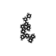 c1ccc(-c2cccc(-c3ccc4c(c3)oc3cccc(-n5c6ccccc6c6ccc(-n7c8ccccc8c8cc(-n9c%10ccccc%10c%10ccccc%109)ccc87)cc65)c34)c2)cc1